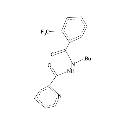 CC(C)(C)N(NC(=O)c1ccccn1)C(=O)c1ccccc1C(F)(F)F